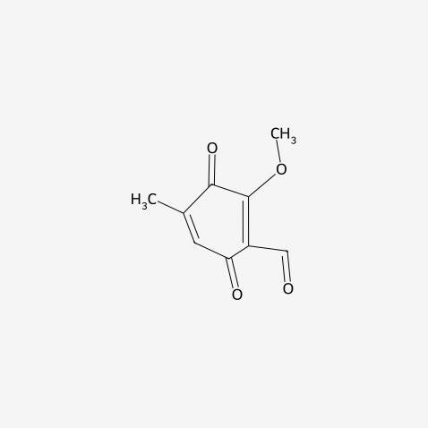 COC1=C(C=O)C(=O)C=C(C)C1=O